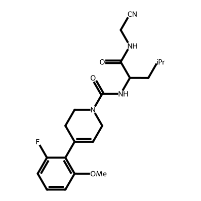 COc1cccc(F)c1C1=CCN(C(=O)NC(CC(C)C)C(=O)NCC#N)CC1